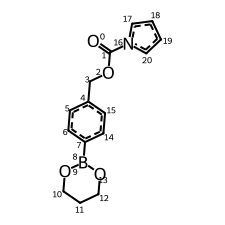 O=C(OCc1ccc(B2OCCCO2)cc1)n1cccc1